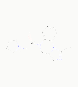 CC(C)(C)c1ncc2n1-c1ccccc1N(C(=O)CN1CCCC1)C2